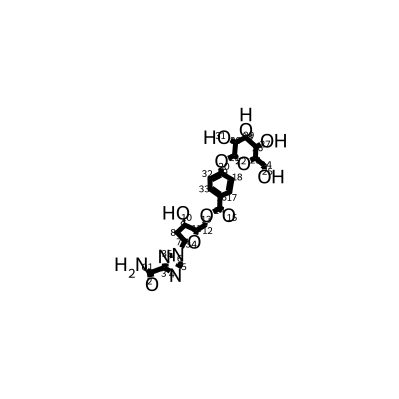 NC(=O)c1ncn(C2C[C@H](O)C(COC(=O)c3ccc(OC4OC(CO)C(O)C(O)C4O)cc3)O2)n1